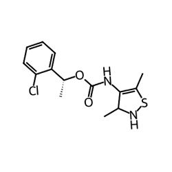 CC1=C(NC(=O)O[C@H](C)c2ccccc2Cl)C(C)NS1